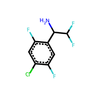 NC(c1cc(F)c(Cl)cc1F)C(F)F